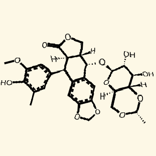 COc1cc([C@@H]2c3cc4c(cc3[C@@H](O[C@@H]3O[C@@H]5CO[C@@H](C)O[C@H]5[C@H](O)[C@H]3O)[C@H]3COC(=O)[C@H]23)OCO4)cc(C)c1O